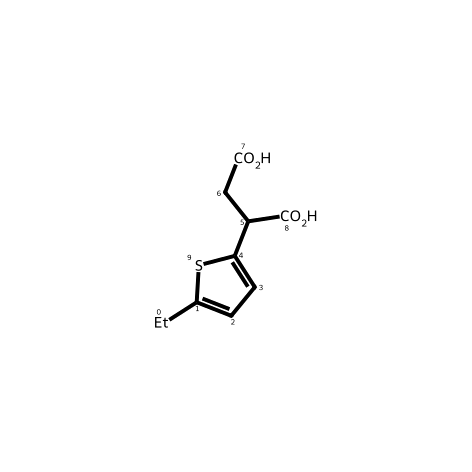 CCc1ccc(C(CC(=O)O)C(=O)O)s1